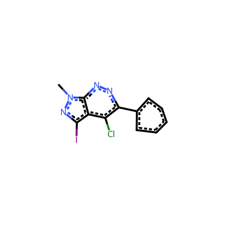 Cn1nc(I)c2c(Cl)c(-c3ccccc3)nnc21